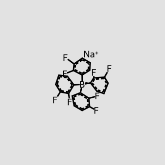 Fc1cccc([B-](c2cccc(F)c2F)(c2cccc(F)c2F)c2cccc(F)c2F)c1F.[Na+]